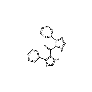 O=C(c1[nH]cnc1-c1ccccc1)c1[nH]cnc1-c1ccccc1